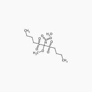 CCCCS(=O)(=O)C(OC)([SH](=O)=O)S(=O)(=O)CCCC.O